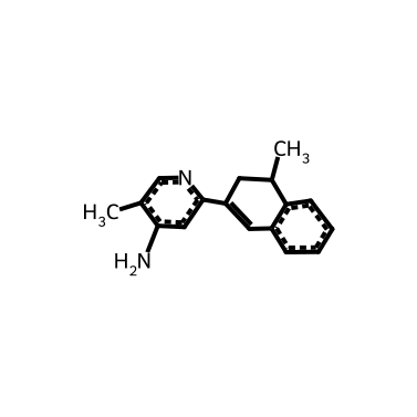 Cc1cnc(C2=Cc3ccccc3C(C)C2)cc1N